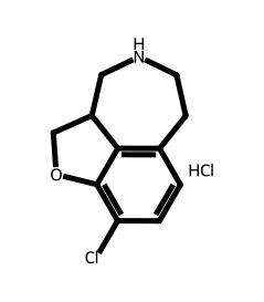 Cl.Clc1ccc2c3c1OCC3CNCC2